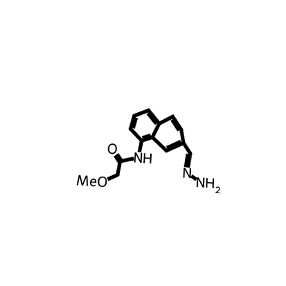 COCC(=O)Nc1cccc2ccc(C=NN)cc12